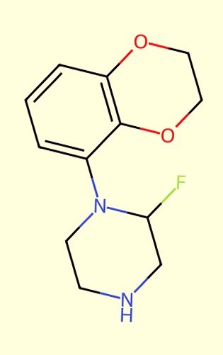 FC1CNCCN1c1cccc2c1OCCO2